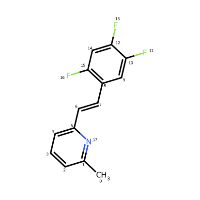 Cc1cccc(C=Cc2cc(F)c(F)cc2F)n1